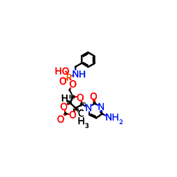 C[C@@]12OC(=O)O[C@@H]1[C@@H](COP(=O)(O)NCc1ccccc1)O[C@H]2n1ccc(N)nc1=O